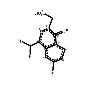 CCOC(=O)Cn1nc(C(F)F)c2cc(Br)ccc2c1=O